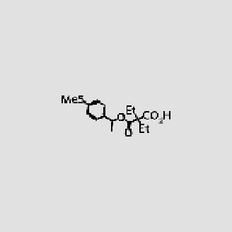 CCC(CC)(C(=O)O)C(=O)OC(C)c1ccc(SC)cc1